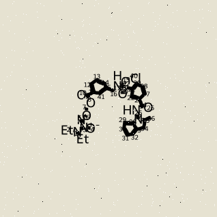 CCN(CC)[N+]([O-])=NOCOC(=O)c1cccc(CNS(=O)(=O)c2cc(C(=O)NN3c4ccccc4CC3C)ccc2Cl)c1